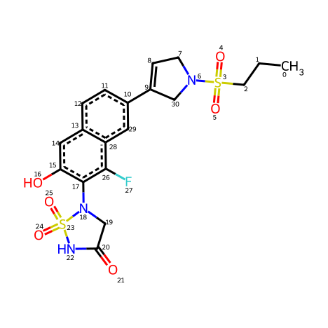 CCCS(=O)(=O)N1CC=C(c2ccc3cc(O)c(N4CC(=O)NS4(=O)=O)c(F)c3c2)C1